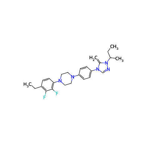 C=C1N(c2ccc(N3CCN(c4ccc(CC)c(F)c4F)CC3)cc2)C=NN1C(C)CC